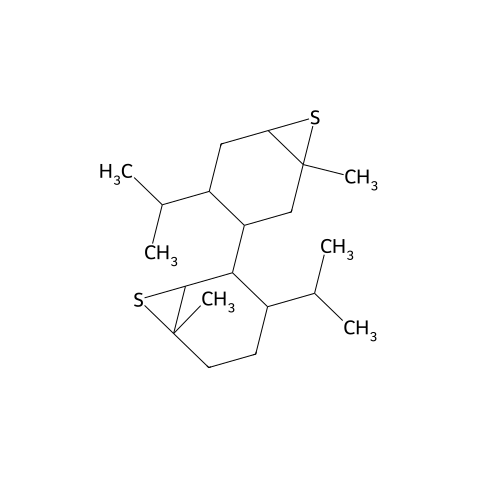 CC(C)C1CC2SC2(C)CC1C1C(C(C)C)CCC2(C)SC12